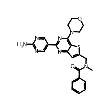 CN(Cc1cc2nc(-c3cnc(N)nc3)nc(N3CCOCC3)c2s1)C(=O)c1ccccc1